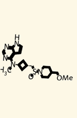 COCC1CCN([S+]([O-])C[C@H]2C[C@@H](N(C)c3ncnc4[nH]ccc34)C2)CC1